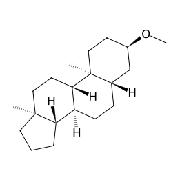 CO[C@@H]1CC[C@@]2(C)[C@@H](CC[C@H]3[C@@H]4CCC[C@@]4(C)CC[C@@H]32)C1